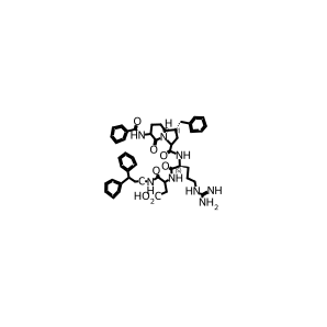 N=C(N)NCCC[C@H](NC(=O)C1C[C@@H](Cc2ccccc2)[C@@H]2CCC(NC(=O)c3ccccc3)C(=O)N12)C(=O)NC(CC(=O)O)C(=O)NCCC(c1ccccc1)c1ccccc1